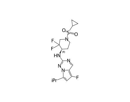 CC(C)c1cc(F)c2cnc(N[C@@H]3CCN(S(=O)(=O)C4CC4)CC3(F)F)nn12